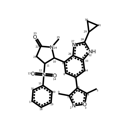 Cc1noc(C)c1-c1cc(C2C(S(=O)(=O)c3ccccc3)CC(=O)N2C)c2nc(C3CC3)[nH]c2c1